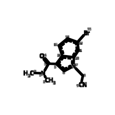 CN(C)C(=O)c1cn(CC#N)c2cc(Br)ccc12